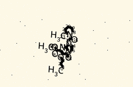 CCCCOc1c(C(=O)OC)nc2n(CC(=O)N3CCCCC3C)ccn2c1=O